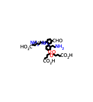 CC(=O)Nc1ccc(C=O)cc1.NCCCC[C@H](N)C(=O)O.NCCc1ccccc1.O=C(O)CCCC(=O)OC(=O)CCCC(=O)O